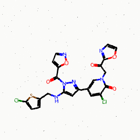 O=C(Cn1cc(-c2cc(NCc3ccc(Cl)s3)n(C(=O)c3ccno3)n2)cc(Cl)c1=O)c1ncco1